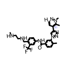 C=C/C(=C(/C)N(C)N)c1cn(-c2cc(C(=O)Nc3ccc(CNCCNC)c(C(F)(F)F)c3)ccc2C)nn1